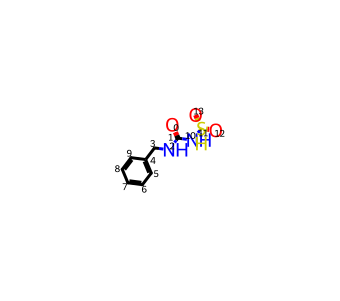 O=C(NCc1ccccc1)N[SH](=O)=O